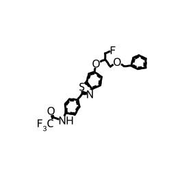 O=C(Nc1ccc(-c2nc3ccc(OC(CF)COCc4ccccc4)cc3s2)cc1)C(F)(F)F